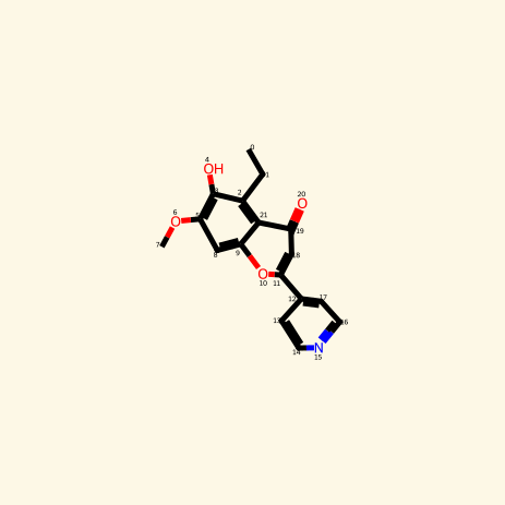 CCc1c(O)c(OC)cc2oc(-c3ccncc3)cc(=O)c12